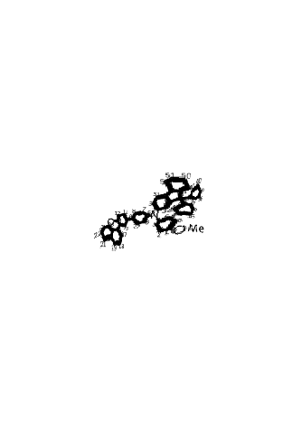 COc1ccc(N(c2ccc(-c3ccc4c(c3)-c3cccc5cccc(c35)O4)cc2)c2ccc3c(c2)C(c2ccccc2)(c2ccccc2)c2ccccc2-3)cc1